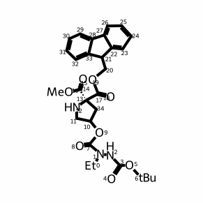 CCN(NC(=O)OC(C)(C)C)C(=O)OC1CN[C@@](C(=O)OC)(C(=O)OCC2c3ccccc3-c3ccccc32)C1